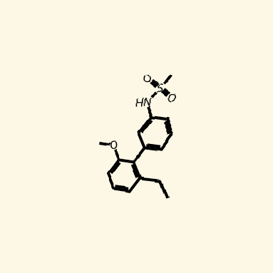 CCc1cccc(OC)c1-c1cccc(NS(C)(=O)=O)c1